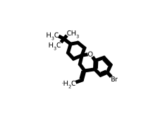 [CH2]C=C1CC2(CCC(C(C)(C)C)CC2)Oc2ccc(Br)cc21